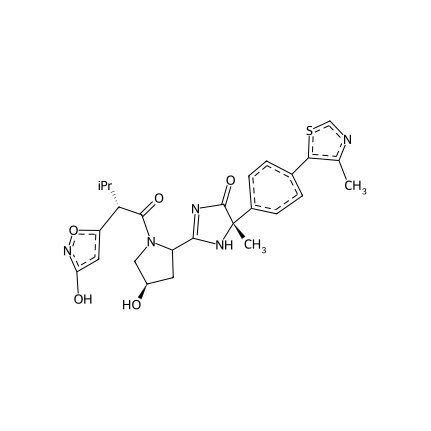 Cc1ncsc1-c1ccc([C@]2(C)NC(C3C[C@@H](O)CN3C(=O)[C@H](c3cc(O)no3)C(C)C)=NC2=O)cc1